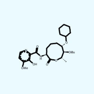 COc1ccnc(C(=O)N[C@H]2CCC[C@H](OC3CCCCC3)[C@@H](OCC(C)C)[C@H](C)OC2=O)c1O